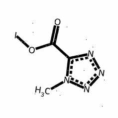 Cn1nnnc1C(=O)OI